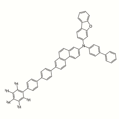 [2H]c1c([2H])c([2H])c(-c2ccc(-c3ccc(-c4ccc5c(ccc6cc(N(c7ccc(-c8ccccc8)cc7)c7ccc8c(c7)oc7ccccc78)ccc65)c4)cc3)cc2)c([2H])c1[2H]